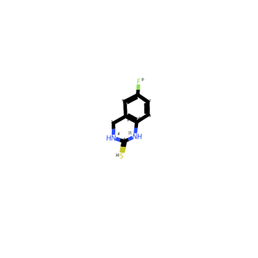 Fc1ccc2c(c1)CNC(=S)N2